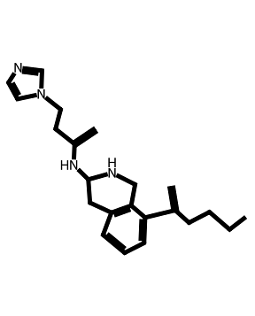 C=C(CCn1ccnc1)NC1Cc2cccc(C(=C)CCCC)c2CN1